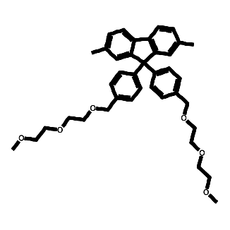 COCCOCCOCc1ccc(C2(c3ccc(COCCOCCOC)cc3)c3cc(C)ccc3-c3ccc(C)cc32)cc1